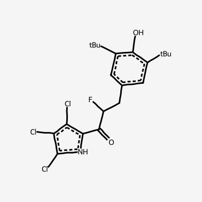 CC(C)(C)c1cc(CC(F)C(=O)c2[nH]c(Cl)c(Cl)c2Cl)cc(C(C)(C)C)c1O